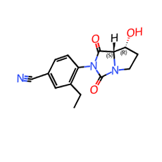 CCc1cc(C#N)ccc1N1C(=O)[C@@H]2[C@H](O)CCN2C1=O